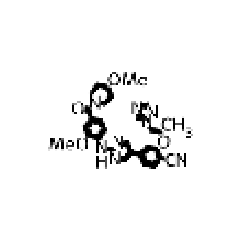 COc1cc(C(=O)N2CCC(OC)CC2)ccc1Nc1ncc(-c2ccc(C#N)c(OC(C)Cn3cncn3)c2)cn1